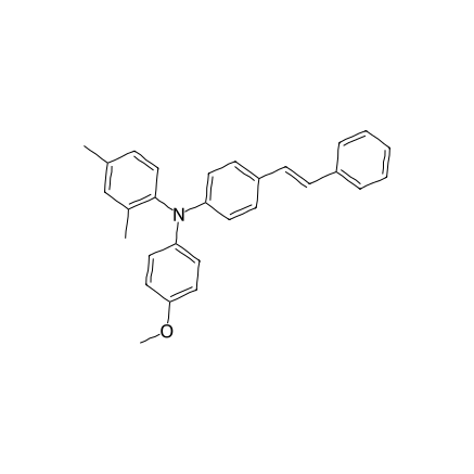 COc1ccc(N(c2ccc(C=Cc3ccccc3)cc2)c2ccc(C)cc2C)cc1